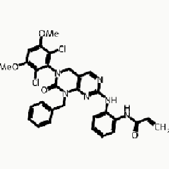 C=CC(=O)Nc1ccccc1Nc1ncc2c(n1)N(Cc1ccccc1)C(=O)N(c1c(Cl)c(OC)cc(OC)c1Cl)C2